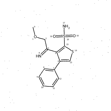 COCC(=N)c1c(-c2ccccc2)csc1S(N)(=O)=O